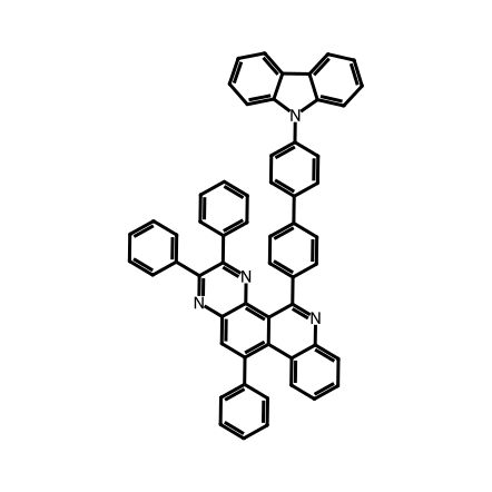 c1ccc(-c2nc3cc(-c4ccccc4)c4c5ccccc5nc(-c5ccc(-c6ccc(-n7c8ccccc8c8ccccc87)cc6)cc5)c4c3nc2-c2ccccc2)cc1